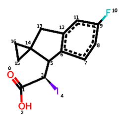 O=C(O)[C@H](I)C1c2ccc(F)cc2CC12CC2